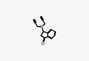 C#CCN(CC#C)C1CC(=O)c2ccccc21